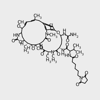 COC1/C=C/C=C(\C)Cc2cc3c(Cl)c(c2)N(C)C(=O)C[C@H](OC(=O)[C@H](C)N(C)C(=O)[C@@H](NC(=O)C(NC(=O)CCCCCN2C(=O)CCC2=O)C(C)C)CCC(NC(N)=O)O3)[C@]2(C)O[C@H]2[C@H](C)[C@@H]2CC1NC(=O)O2